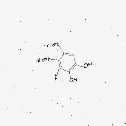 CCCCCc1cc(O)c(O)c(F)c1CCCCC